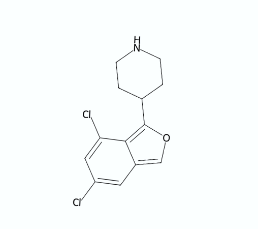 Clc1cc(Cl)c2c(C3CCNCC3)occ2c1